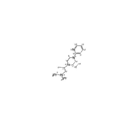 CC(CN(C(C)C)C(C)C)N1CCN(c2ccccn2)CC1.CI